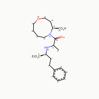 CCOC(=O)[C@H](CCc1ccccc1)NC(C)C(=O)N1CCCCOCC[C@H]1C(=O)O